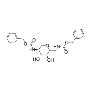 O=C(NC[C@@H]1OC[C@H](NC(=O)OCc2ccccc2)[C@@H](O)[C@@H]1O)OCc1ccccc1